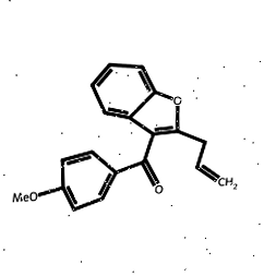 C=CCc1oc2ccccc2c1C(=O)c1ccc(OC)cc1